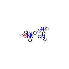 c1ccc(-c2nc(-c3ccc(-c4ccc5nc(-c6ccccc6)c6ccc7c(c8ccccc8n7-c7ccccc7)c6c5c4)cc3)nc(-c3cccc4c3oc3ccccc34)n2)cc1